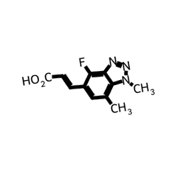 Cc1cc(C=CC(=O)O)c(F)c2nnn(C)c12